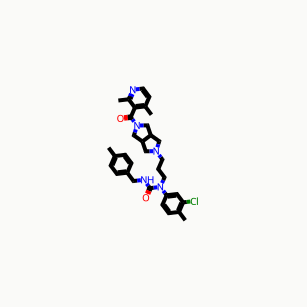 Cc1ccc(CNC(=O)N(CCCN2CC3CN(C(=O)c4c(C)ccnc4C)CC3C2)c2ccc(C)c(Cl)c2)cc1